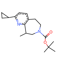 CC1CN(C(=O)OC(C)(C)C)CCc2ccc(C3CC3)nc21